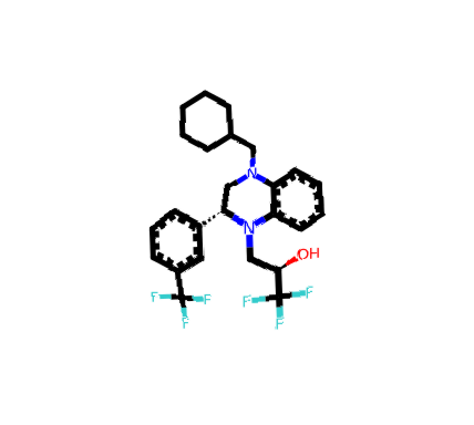 O[C@H](CN1c2ccccc2N(CC2CCCCC2)C[C@H]1c1cccc(C(F)(F)F)c1)C(F)(F)F